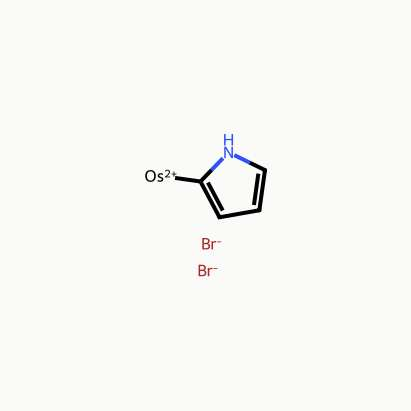 [Br-].[Br-].[Os+2][c]1ccc[nH]1